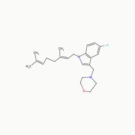 CC(C)=CCC/C(C)=C/Cn1cc(CN2CCOCC2)c2cc(F)ccc21